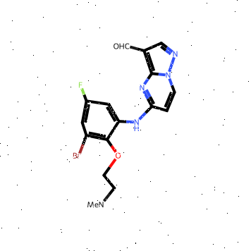 CNCCOc1c(Br)cc(F)cc1Nc1ccn2ncc(C=O)c2n1